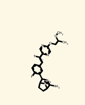 COC(C)COc1cnc(/C(F)=C/c2ccc(F)c(C3N=C(N)C4CCC3S4(=O)=O)c2)cn1